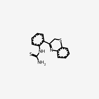 NC(=S)Nc1ccccc1C1=Nc2ccccc2SC1